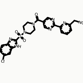 O=NCc1cccc(-c2ncc(C(=O)N3CCN(S(=O)(=O)c4nc5ccc(Cl)cc5[nH]4)CC3)cn2)n1